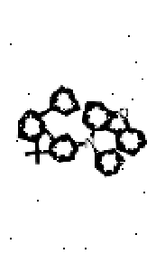 CC1(C)c2ccc(N(c3ccccc3)c3cccc4oc5ccccc5c34)cc2-c2c(-c3ccccc3)cccc21